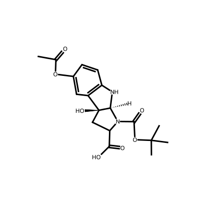 CC(=O)Oc1ccc2c(c1)[C@@]1(O)CC(C(=O)O)N(C(=O)OC(C)(C)C)[C@@H]1N2